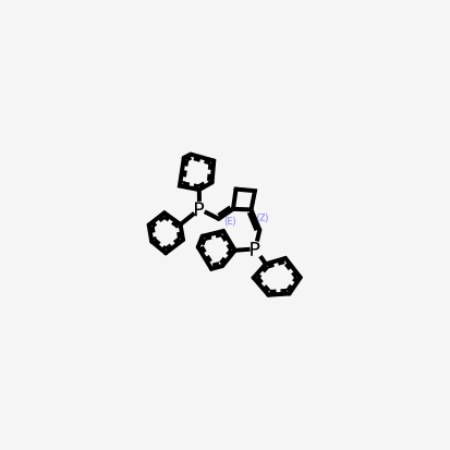 C(=C1\CC\C1=C/P(c1ccccc1)c1ccccc1)/P(c1ccccc1)c1ccccc1